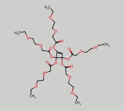 CCOCCOCC(=O)OC1=CC(OC(=O)COCCOCC)(OC(=O)COCCOCC)C1(OC(=O)COCCOCC)OC(=O)COCCOCC